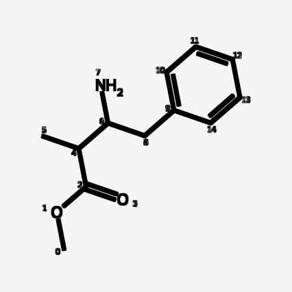 COC(=O)C(C)C(N)Cc1ccccc1